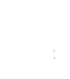 Cc1nccn1-c1cccc2c1CC1C3CC(C(OC(=O)c4ccccc4)C3OC(=O)c3ccccc3)C21